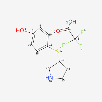 O=C(O)C(F)(F)F.Oc1ccc(S[C@@H]2CCNC2)cc1